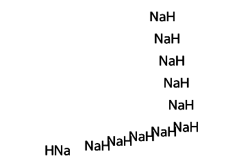 [NaH].[NaH].[NaH].[NaH].[NaH].[NaH].[NaH].[NaH].[NaH].[NaH].[NaH]